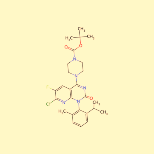 Cc1cccc(C(C)C)c1-n1c(=O)nc(N2CCN(C(=O)OC(C)(C)C)CC2)c2cc(F)c(Cl)nc21